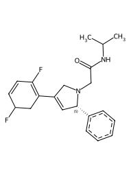 CC(C)NC(=O)CN1CC(C2=C(F)C=CC(F)C2)=C[C@H]1c1ccccc1